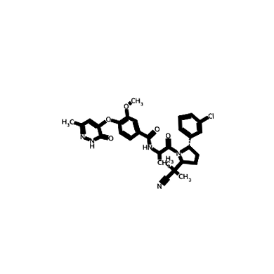 COc1cc(C(=O)NC(C)C(=O)N2C(C(C)(C)C#N)CC[C@H]2c2cccc(Cl)c2)ccc1Oc1cc(C)n[nH]c1=O